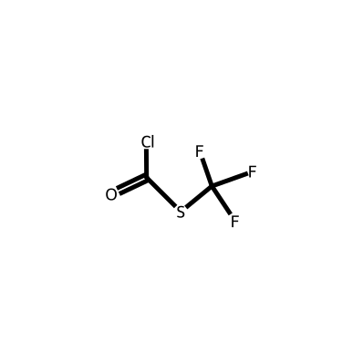 O=C(Cl)SC(F)(F)F